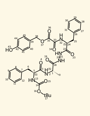 C[C@H](NC(=O)[C@H](Cc1ccccc1)NC(=O)OC(C)(C)C)C(=O)NNC(=O)[C@H](Cc1ccccc1)NC(=O)C(=O)OCc1ccc(O)cc1